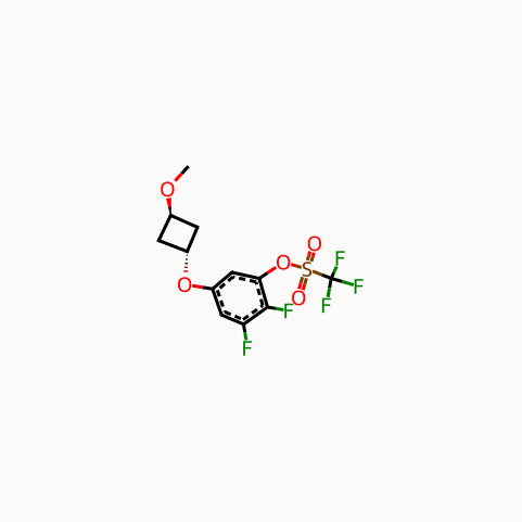 CO[C@H]1C[C@H](Oc2cc(F)c(F)c(OS(=O)(=O)C(F)(F)F)c2)C1